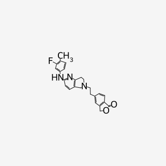 Cc1ccc(Nc2ccc3c(n2)CCN(CCc2ccc4c(c2)COC4=O)C3)cc1F